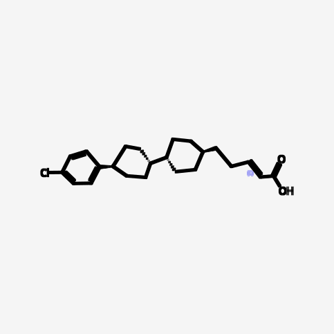 O=C(O)/C=C/CC[C@H]1CC[C@H]([C@H]2CC[C@H](c3ccc(Cl)cc3)CC2)CC1